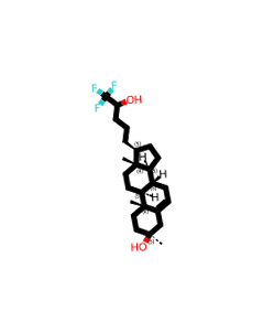 C[C@]1(O)CC[C@@]2(C)C(=CC[C@H]3[C@@H]4CC[C@H](CCCC(O)C(F)(F)F)[C@@]4(C)CC[C@@H]32)C1